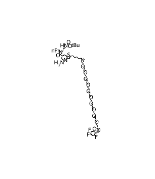 CCCN(CCCNC(=O)OC(C)(C)C)C(=O)C1=Cc2sc(CCCCCN(C)CCOCCOCCOCCOCCOCCOCCOCCOCCOCCOCCC(=O)Oc3c(F)c(F)cc(F)c3F)cc2N=C(N)C1